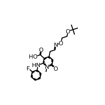 Cn1c(Nc2ccccc2F)c(C(=O)O)c(CC=NOCCOC(C)(C)C)cc1=O